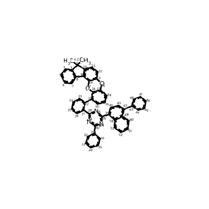 CC1(C)c2ccccc2-c2c1ccc1c2Oc2c(cccc2-c2ccccc2-c2nc(-c3ccccc3)nc(-c3ccc(-c4ccccc4)c4ccccc34)n2)O1